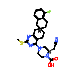 CSc1nc2c(c(N3CCN(C(=O)O)[C@@H](CC#N)C3)n1)CC[C@@]1(CCc3c(F)cccc3C1)C2